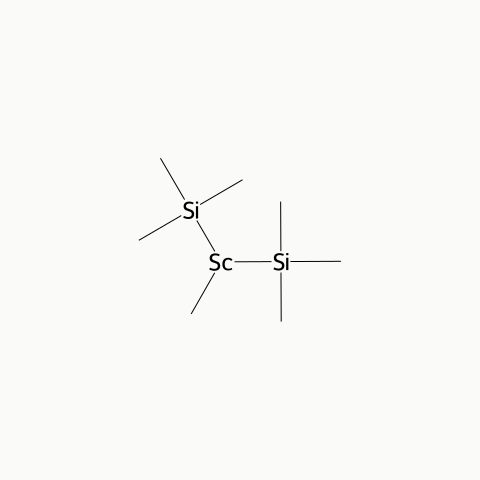 [CH3][Sc]([Si](C)(C)C)[Si](C)(C)C